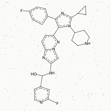 OC(Nc1cn2nc(-c3c(-c4ccc(F)cc4)nc(C4CC4)n3C3CCNCC3)ccc2n1)c1ccnc(F)c1